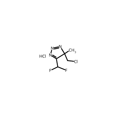 CC1(CCl)N=NN=C1C(F)F.Cl